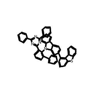 c1ccc(-c2nc(-c3ccccc3)nc(-c3cccc(-c4ccccc4)c3-n3c4ccccc4c4ccc(-c5cccc6sc7ccccc7c56)cc43)n2)cc1